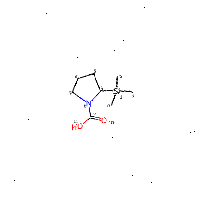 C[Si](C)(C)C1CCCN1C(=O)O